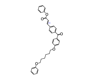 O=C(/C=C/c1ccc(C(=O)c2ccc(OCCCCCCOc3ccccc3)cc2)cc1)Oc1ccccc1